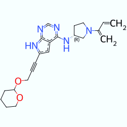 C=CC(=C)N1CC[C@@H](Nc2ncnc3[nH]c(C#CCOC4CCCCO4)cc23)C1